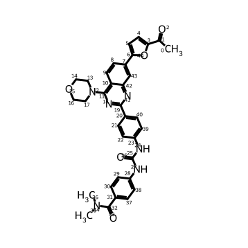 CC(=O)c1ccc(-c2ccc3c(N4CCOCC4)nc(-c4ccc(NC(=O)Nc5ccc(C(=O)N(C)C)cc5)cc4)nc3c2)o1